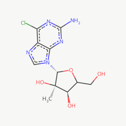 C[C@@]1(O)[C@H](O)C(CO)O[C@H]1n1cnc2c(Cl)nc(N)nc21